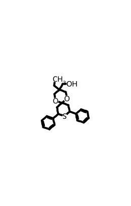 CCC1(CO)COC2(CC(c3ccccc3)SC(c3ccccc3)C2)OC1